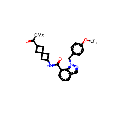 COC(=O)C1CC2(CC(NC(=O)c3cccc4cnn(Cc5ccc(OC(F)(F)F)cc5)c34)C2)C1